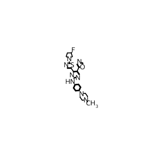 CN1CCN(c2ccc(Nc3ncc(-c4cnco4)c(-c4cnc(N5CCC(F)C5)s4)n3)cc2)CC1